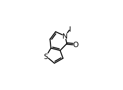 O=c1c2ccsc2ccn1I